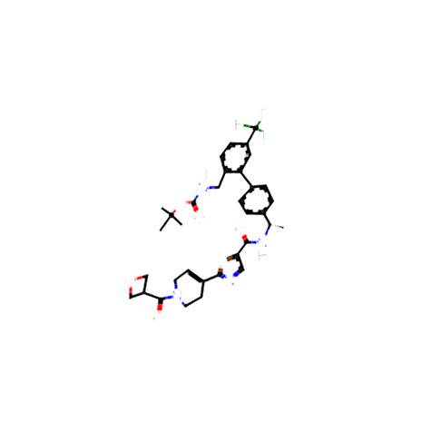 C[C@@H](NC(=O)c1cnc(C2=CCN(C(=O)C3COC3)CC2)s1)c1ccc(-c2cc(C(F)(F)F)ccc2CNC(=O)OC(C)(C)C)cc1